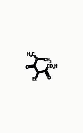 CCC(C(=O)C(=O)O)C(=O)N(C)C